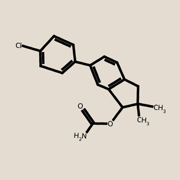 CC1(C)Cc2ccc(-c3ccc(Cl)cc3)cc2C1OC(N)=O